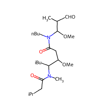 CCCCN(C(=O)CC(OC)C(C(C)CC)N(C)C(=O)CC(C)C)C(OC)C(C)C=O